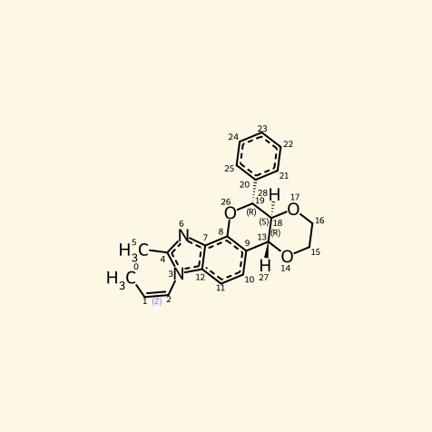 C/C=C\n1c(C)nc2c3c(ccc21)[C@H]1OCCO[C@@H]1[C@@H](c1ccccc1)O3